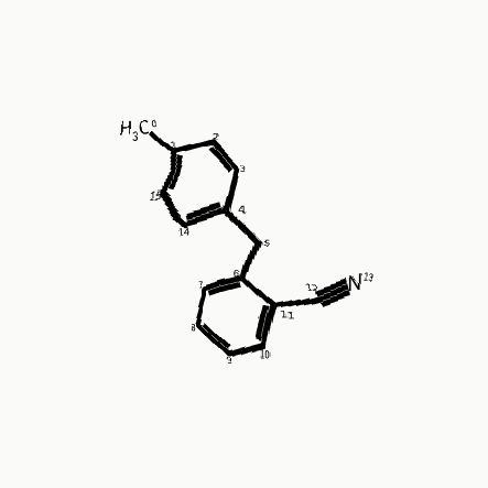 Cc1ccc(Cc2ccccc2C#N)cc1